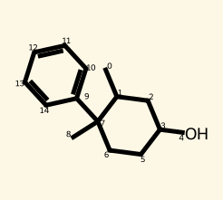 CC1CC(O)CCC1(C)c1ccccc1